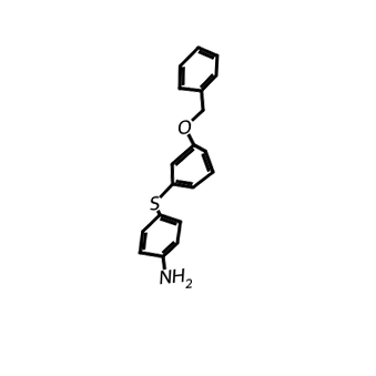 Nc1ccc(Sc2cccc(OCc3ccccc3)c2)cc1